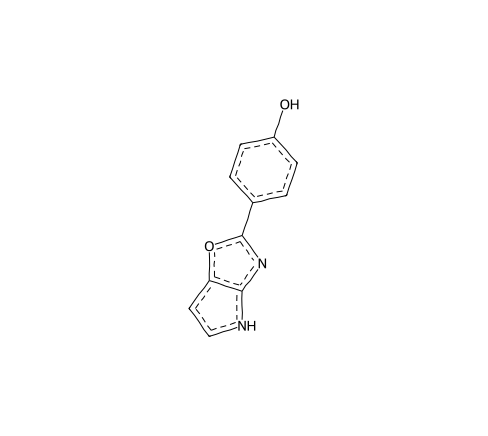 Oc1ccc(-c2nc3[nH]ccc3o2)cc1